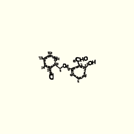 O=Cc1c(O)cccc1OCc1ncccc1Cl